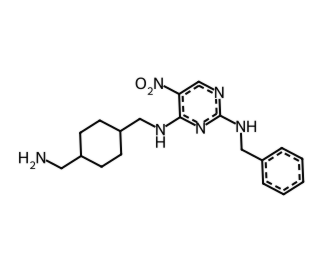 NCC1CCC(CNc2nc(NCc3ccccc3)ncc2[N+](=O)[O-])CC1